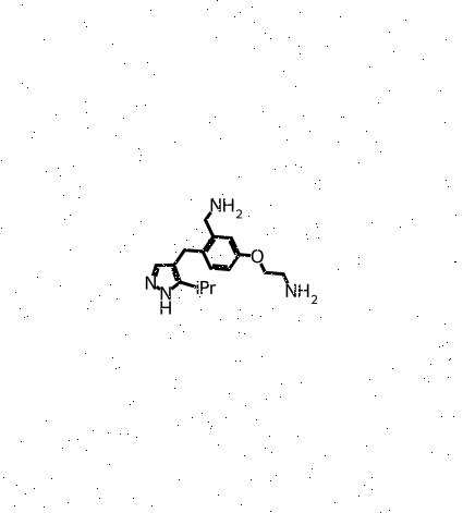 CC(C)c1[nH]ncc1Cc1ccc(OCCN)cc1CN